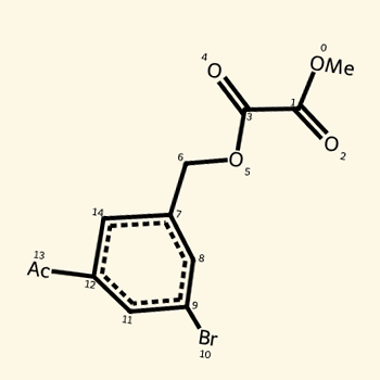 COC(=O)C(=O)OCc1cc(Br)cc(C(C)=O)c1